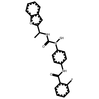 CC(NC(=O)N(S)c1ccc(NC(=O)c2ccccc2F)cc1)c1cc2ccccc2o1